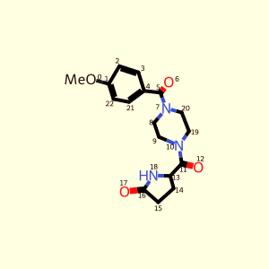 COc1ccc(C(=O)N2CCN(C(=O)C3CCC(=O)N3)CC2)cc1